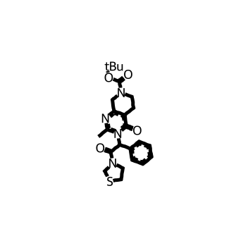 Cc1nc2c(c(=O)n1C(C(=O)N1CCSC1)c1ccccc1)CCN(C(=O)OC(C)(C)C)C2